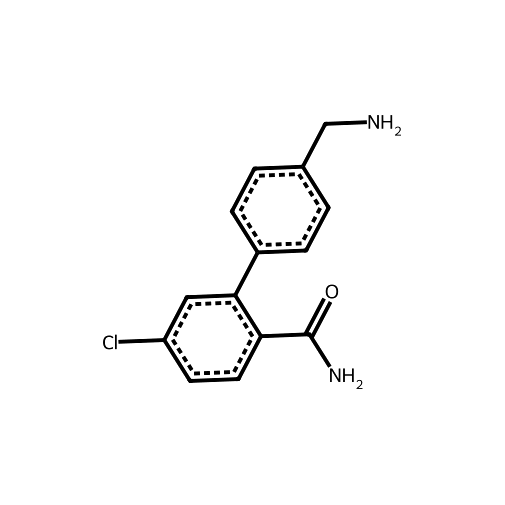 NCc1ccc(-c2cc(Cl)ccc2C(N)=O)cc1